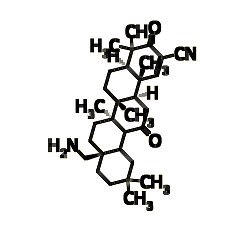 CC1(C)CC[C@]2(CN)CC[C@]3(C)C(C(=O)C[C@@H]4[C@@]5(C)C=C(C#N)C(=O)C(C)(C)[C@@H]5CC[C@]43C)C2C1